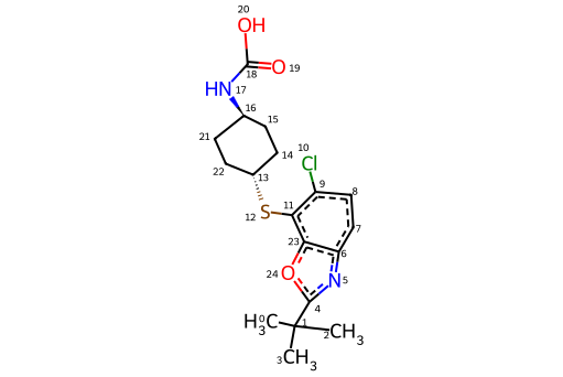 CC(C)(C)c1nc2ccc(Cl)c(S[C@H]3CC[C@H](NC(=O)O)CC3)c2o1